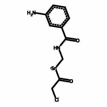 Nc1cccc(C(=O)N[CH2][Sn][C](=O)CCl)c1